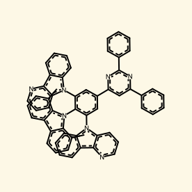 Cc1cccc2c3cccc(C)c3n(-c3c(-n4c5ccccc5c5ncccc54)cc(-c4cc(-c5ccccc5)nc(-c5ccccc5)n4)cc3-n3c4ccccc4c4ncccc43)c12